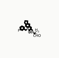 CC(C=O)NCc1cc2cc3c(cc2n(Cc2cccc(F)c2)c1=O)CCC3